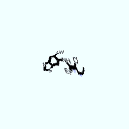 C/C=C\C(Cl)=C(/CC)Nc1cc2scnc2cc1O